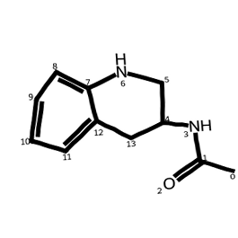 CC(=O)NC1CNc2ccccc2C1